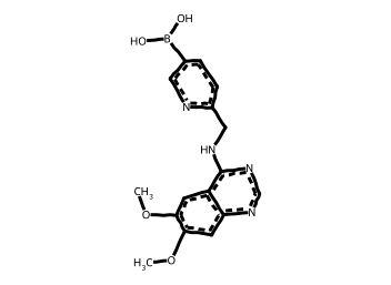 COc1cc2ncnc(NCc3ccc(B(O)O)cn3)c2cc1OC